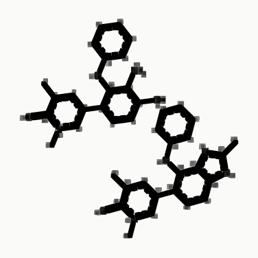 Cc1cc(-c2ccc(O)c(N)c2Oc2ccccc2)cn(C)c1=O.Cc1nc2c(Oc3ccccc3)c(-c3cc(C)c(=O)n(C)c3)ccc2o1